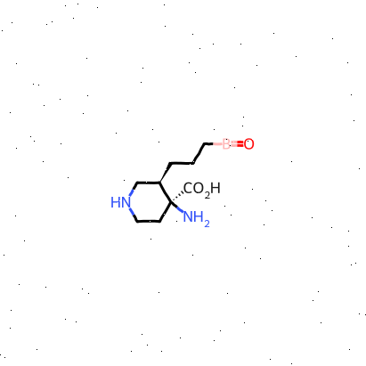 N[C@@]1(C(=O)O)CCNC[C@H]1CCCB=O